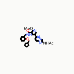 COc1ncc(-c2ccc3nc(NC(C)=O)cn3n2)cc1C(=O)NCc1ccccc1OCC1CCCC1